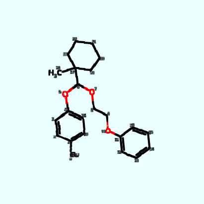 CCC(C)c1ccc(OC(OCCOc2ccccc2)C2(C)CCCCC2)cc1